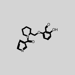 O=Cc1c(O)cccc1OCC1CCCCN1C(=O)c1cccnc1